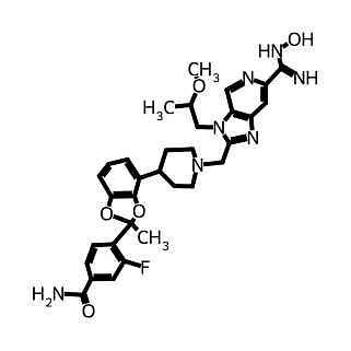 COC(C)Cn1c(CN2CCC(c3cccc4c3OC(C)(c3ccc(C(N)=O)cc3F)O4)CC2)nc2cc(C(=N)NO)ncc21